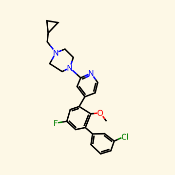 COc1c(-c2cccc(Cl)c2)cc(F)cc1-c1ccnc(N2CCN(CC3CC3)CC2)c1